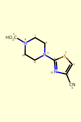 N#Cc1csc(N2CCN(C(=O)O)CC2)n1